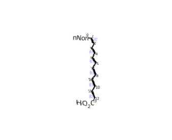 CCCCCCCCC\C=C/C=C/C=C/C=C/C=C/C=C/C(=O)O